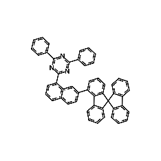 c1ccc(-c2nc(-c3ccccc3)nc(-c3cccc4ccc(-c5cccc6c5-c5ccccc5C65c6ccccc6-c6ccccc65)cc34)n2)cc1